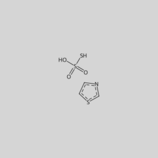 O=S(=O)(O)S.c1cscn1